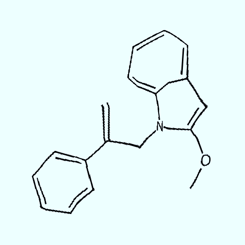 C=C(Cn1c(OC)cc2ccccc21)c1ccccc1